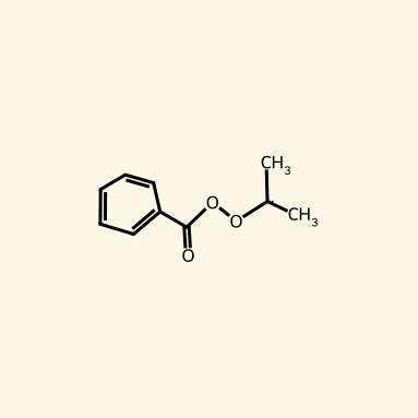 C[C](C)OOC(=O)c1ccccc1